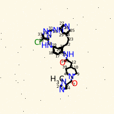 Cn1cncc1C(=O)N1CCC(CC(=O)Nc2ccc3cc2CCc2cncc(c2)Nc2ncc(Cl)c(n2)N3)CC1